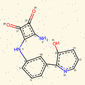 Nc1c(Nc2cccc(-c3ncccc3O)c2)c(=O)c1=O